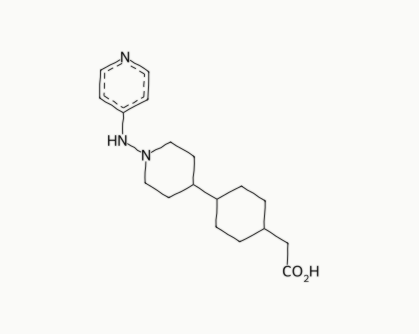 O=C(O)CC1CCC(C2CCN(Nc3ccncc3)CC2)CC1